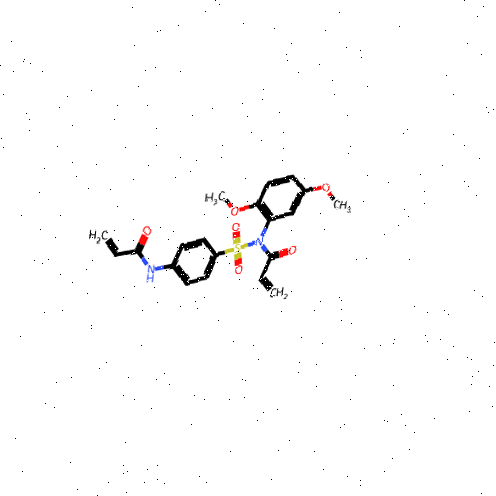 C=CC(=O)Nc1ccc(S(=O)(=O)N(C(=O)C=C)c2cc(OC)ccc2OC)cc1